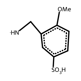 COc1ccc(S(=O)(=O)O)cc1C[NH]